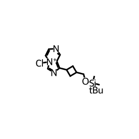 CC(C)(C)[Si](C)(C)OCC1CC(C2=C3C=NC=C[N+]3(Cl)C=N2)C1